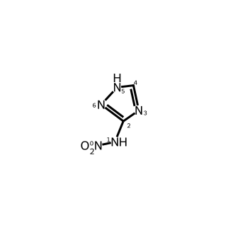 O=[N+]([O-])Nc1nc[nH]n1